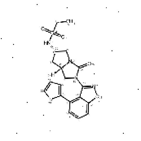 CCS(=O)(=O)N[C@H]1C[C@H]2CN(c3noc4cccc(-c5cccs5)c34)C(=O)N2C1